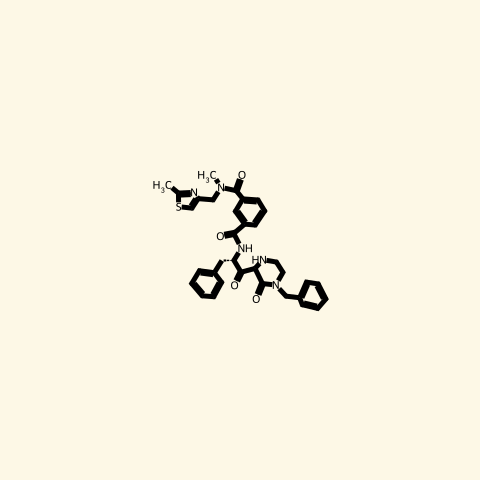 Cc1nc(CN(C)C(=O)c2cccc(C(=O)N[C@@H](Cc3ccccc3)C(=O)C3NCCN(Cc4ccccc4)C3=O)c2)cs1